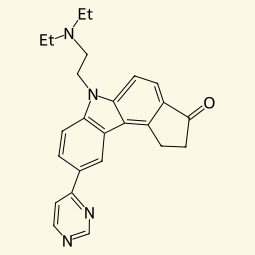 CCN(CC)CCn1c2ccc(-c3ccncn3)cc2c2c3c(ccc21)C(=O)CC3